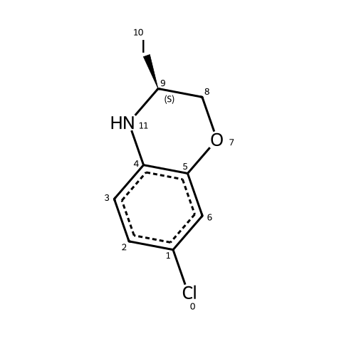 Clc1ccc2c(c1)OC[C@H](I)N2